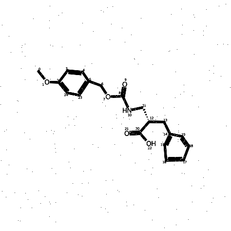 COc1ccc(COC(=O)NC[C@H](Cc2ccccc2)C(=O)O)cc1